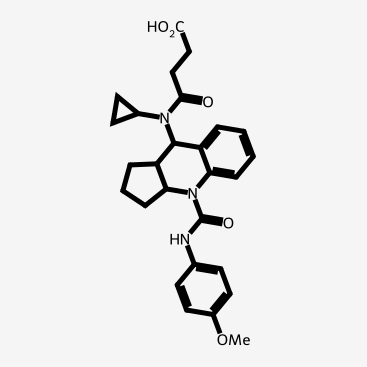 COc1ccc(NC(=O)N2c3ccccc3C(N(C(=O)CCC(=O)O)C3CC3)C3CCCC32)cc1